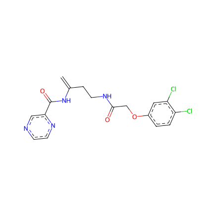 C=C(CCNC(=O)COc1ccc(Cl)c(Cl)c1)NC(=O)c1cnccn1